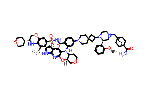 CC(C)Oc1ccccc1[C@@H]1CN(CC23CCC(C(N)=O)(CC2)CC3)CCN1C1CC2(CCN(c3ccc(C(=O)NS(=O)(=O)c4cc5c(c([N+](=O)[O-])c4)N[C@H](C4CCOCC4)CO5)c(N4c5cc6cc[nH]c6nc5O[C@H]5COCC[C@@H]54)c3)CC2)C1